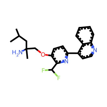 CC(C)CC(C)(N)COc1ccc(-c2ccnc3ccccc23)nc1C(F)F